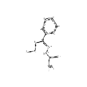 [CH2]CCC(=NNC(N)=S)c1ccccc1